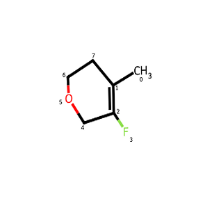 CC1=C(F)COCC1